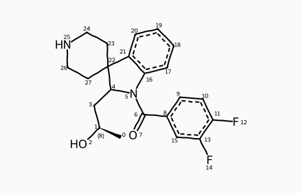 C[C@@H](O)CC1N(C(=O)c2ccc(F)c(F)c2)c2ccccc2C12CCNCC2